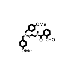 COc1ccc(CN(Cc2ccc(OC)cc2)SCCN(C)C(=O)c2ccccc2C=O)cc1